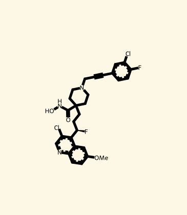 COc1ccc2ncc(Cl)c([C@H](F)CCC3(C(=O)NO)CCN(CC#Cc4ccc(F)c(Cl)c4)CC3)c2c1